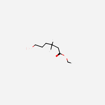 CCOC(=O)CC(C)(C)CCCO